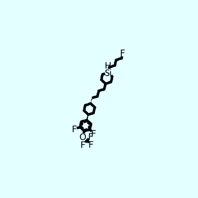 FCCCC[SiH]1CCC(CCCC[C@H]2CC[C@H](c3cc(F)c(OC(F)(F)F)c(F)c3)CC2)CC1